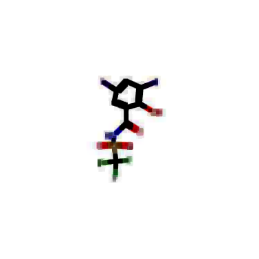 O=C(NS(=O)(=O)C(F)(F)F)c1cc(I)cc(I)c1O